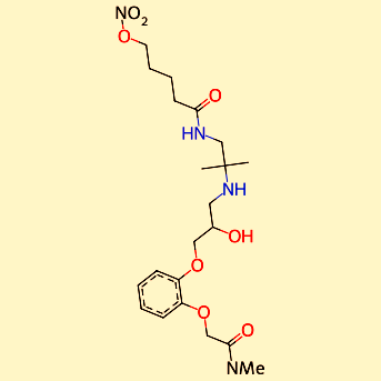 CNC(=O)COc1ccccc1OCC(O)CNC(C)(C)CNC(=O)CCCCO[N+](=O)[O-]